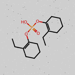 CCC1=C(OP(=O)(O)OC2=C(CC)CCCC2)CCCC1